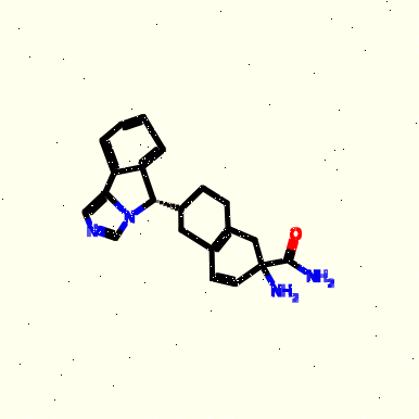 NC(=O)C1(N)C=CC2=C(CCC([C@H]3c4ccccc4-c4cncn43)C2)C1